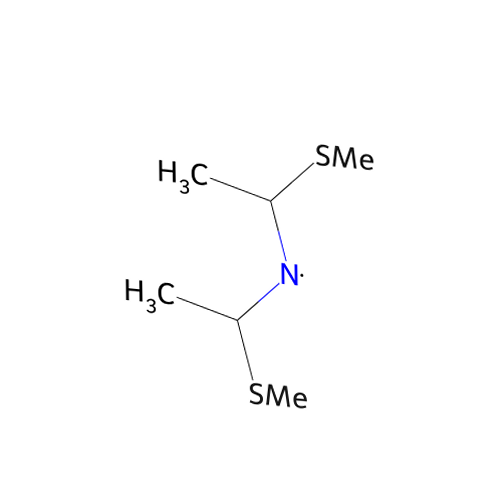 CSC(C)[N]C(C)SC